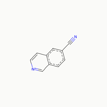 N#Cc1ccc2c(c1)C=C[N+]=C2